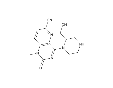 Cn1c(=O)nc(N2CCNCC2CO)c2nc(C#N)ccc21